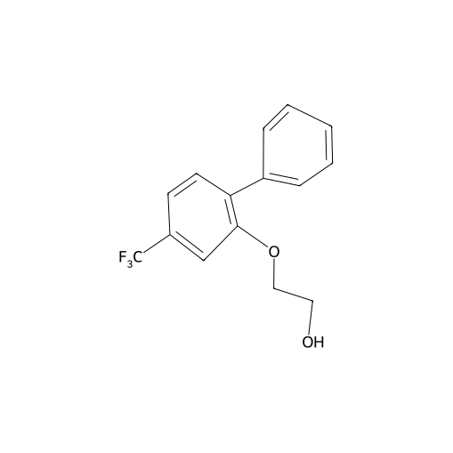 OCCOc1cc(C(F)(F)F)ccc1-c1ccccc1